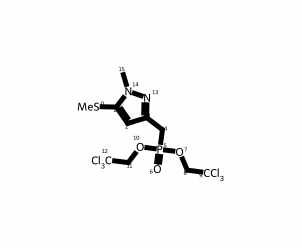 CSc1cc(CP(=O)(OCC(Cl)(Cl)Cl)OCC(Cl)(Cl)Cl)nn1C